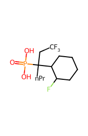 CCCC(CC(F)(F)F)(C1CCCCC1F)P(=O)(O)O